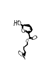 O=C(OCCCCl)c1ccc(O)o1